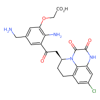 NCc1cc(OCC(=O)O)c(N)c(C(=O)C[C@@H]2CCc3cc(Cl)cc4[nH]c(=O)c(=O)n2c34)c1